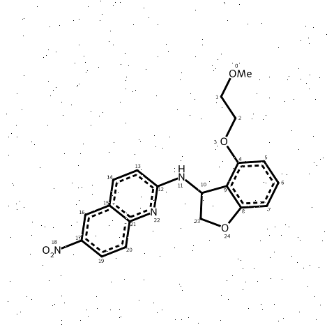 COCCOc1cccc2c1C(Nc1ccc3cc([N+](=O)[O-])ccc3n1)CO2